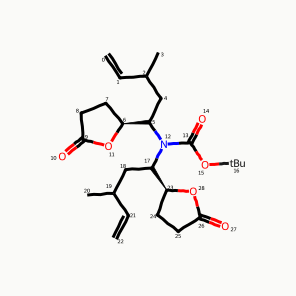 C=CC(C)CC([C@@H]1CCC(=O)O1)N(C(=O)OC(C)(C)C)C(CC(C)C=C)[C@@H]1CCC(=O)O1